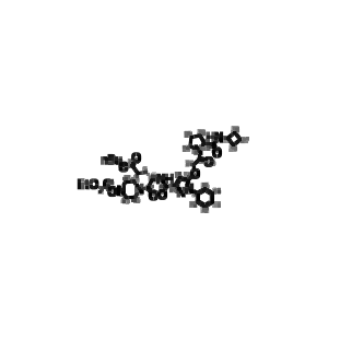 CCCCOC(=O)CC[C@H](NC(=O)c1cc(OCC(=O)N2CCC[C@H]2C(=O)NC2CCC2)n(-c2ccccc2)n1)C(=O)N1CCN(OC(=O)OCC)CC1